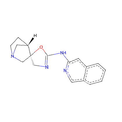 c1ccc2cc(NC3=NC[C@@]4(CN5CC[C@H]4C5)O3)ncc2c1